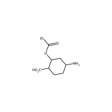 CCC(=O)OC1CC(N)CCC1C(=O)O